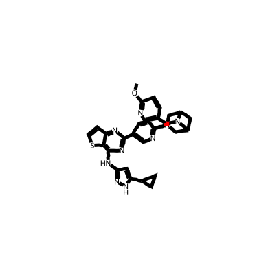 COc1ccc(CN2C3CC2CN(c2ccc(-c4nc(Nc5cc(C6CC6)[nH]n5)c5sccc5n4)cn2)C3)cn1